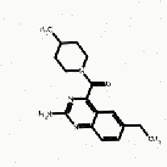 CCc1ccc2nc(N)nc(C(=O)N3CCC(C)CC3)c2c1